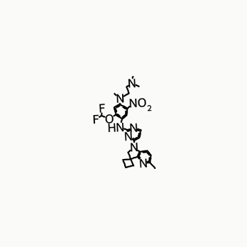 Cc1ccc2c(n1)C1(CCC1)CN2c1ccnc(Nc2cc([N+](=O)[O-])c(N(C)CCN(C)C)cc2OC(F)F)n1